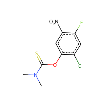 CN(C)C(=S)Oc1cc([N+](=O)[O-])c(F)cc1Cl